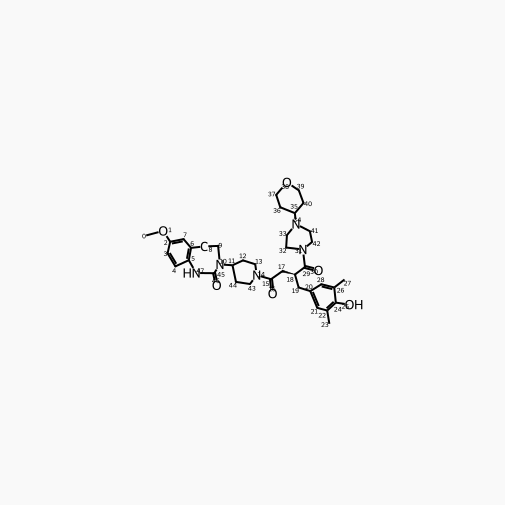 COc1ccc2c(c1)CCN(C1CCN(C(=O)C[C@H](Cc3cc(C)c(O)c(C)c3)C(=O)N3CCN(C4CCOCC4)CC3)CC1)C(=O)N2